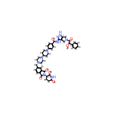 CO[C@@H](C(=O)N1Cc2[nH]nc(NC(=O)c3ccc(N4CCC(N5CCN(Cc6ccc7c(c6F)C(=O)N(C6CCC(=O)NC6=O)C7=O)CC5)CC4)cc3)c2C1)c1ccccc1